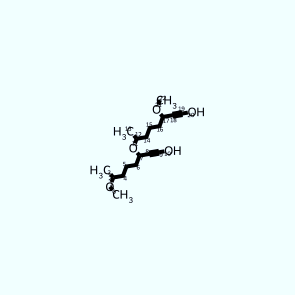 COC(C)CCCC(C#CO)OC(C)CCCC(C#CO)OC